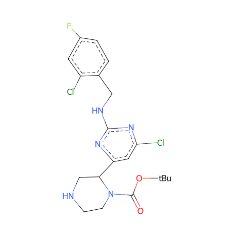 CC(C)(C)OC(=O)N1CCNCC1c1cc(Cl)nc(NCc2ccc(F)cc2Cl)n1